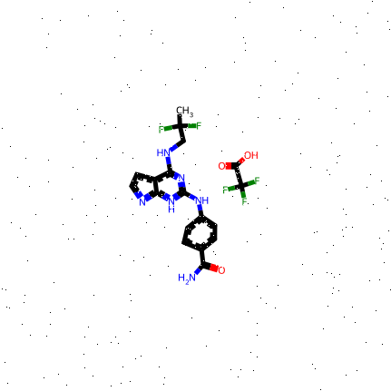 CC(F)(F)CNc1nc(Nc2ccc(C(N)=O)cc2)[nH]c2nccc1-2.O=C(O)C(F)(F)F